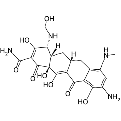 CNc1cc(N)c(O)c2c1C[C@H]1C[C@H]3[C@@H](NCO)C(O)=C(C(N)=O)C(=O)[C@@]3(O)C(O)=C1C2=O